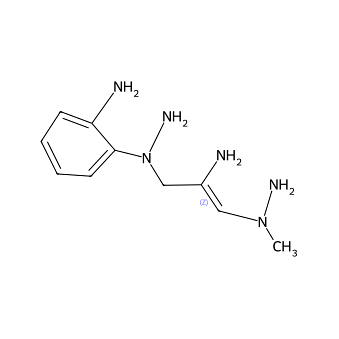 CN(N)/C=C(\N)CN(N)c1ccccc1N